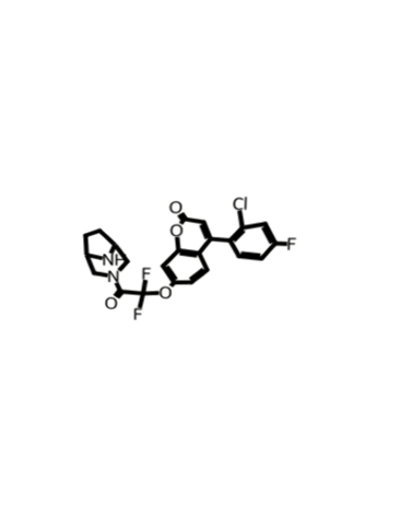 O=C(N1CC2CCC(C1)N2)C(F)(F)Oc1ccc2c(-c3ccc(F)cc3Cl)cc(=O)oc2c1